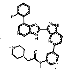 O=C(CC1CCNCC1)Nc1cncc(-c2ccc3[nH]nc(-c4nc5c(-c6ccccc6F)cncc5[nH]4)c3n2)c1